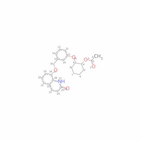 CC(=O)OC1CCCCC1Oc1cccc(COc2cccc3ccc(=O)[nH]c23)c1